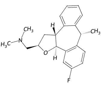 C[C@H]1c2ccccc2[C@H]2C[C@H](CN(C)C)O[C@@H]2c2cc(F)ccc21